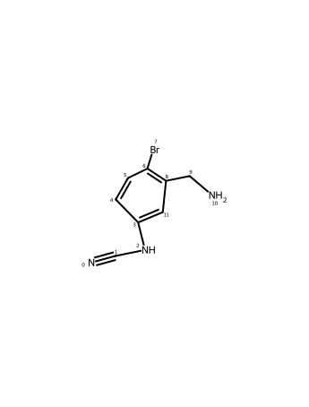 N#CNc1ccc(Br)c(CN)c1